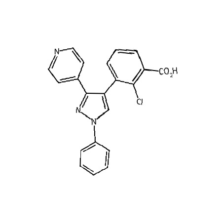 O=C(O)c1cccc(-c2cn(-c3ccccc3)nc2-c2ccncc2)c1Cl